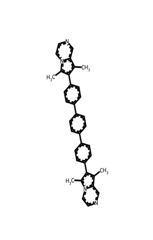 Cc1c(-c2ccc(-c3ccc(-c4ccc(-c5c(C)c6cnccn6c5C)cc4)cc3)cc2)c(C)n2ccncc12